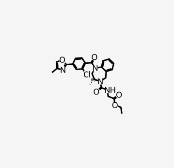 CCOC(=O)CNC(=O)N1Cc2ccccc2N(C(=O)c2ccc(-c3nc(C)co3)cc2Cl)C[C@H]1C